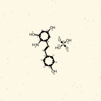 Nc1c(O)cc(O)cc1C=Cc1ccc(O)cc1.O=S(=O)(O)O